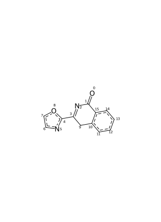 O=C1N=C(c2ncco2)Cc2ccccc21